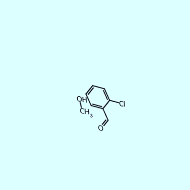 CO.O=Cc1ccccc1Cl